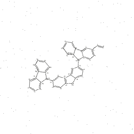 C=Cc1ccc2c(c1)c1ccccc1n2-c1ccc2oc3ccc(-n4c5ccccc5c5ccccc54)cc3c2c1